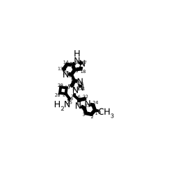 Cc1ccc2nc(Cn3cc(-c4nccc5[nH]ncc45)nn3)cn2c1.NCC1CCC1